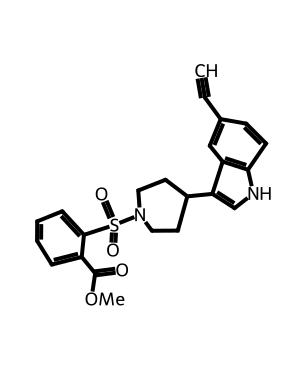 C#Cc1ccc2[nH]cc(C3CCN(S(=O)(=O)c4ccccc4C(=O)OC)CC3)c2c1